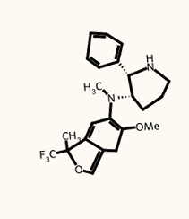 COC1=C(N(C)[C@H]2CCCN[C@H]2c2ccccc2)C=C2C(=COC2(C)C(F)(F)F)C1